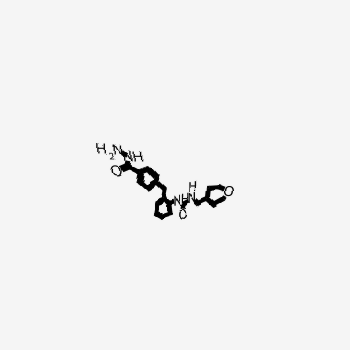 NNC(=O)c1ccc(Cc2ccccc2NC(=O)NCC2CCOCC2)cc1